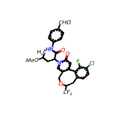 COC(C)CC(C(=O)Nc1ccc(C=O)cc1)n1cc2c(cc1=O)-c1c(ccc(Cl)c1F)CC(C(F)(F)F)OC2